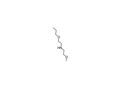 CCCOCCNCCOC